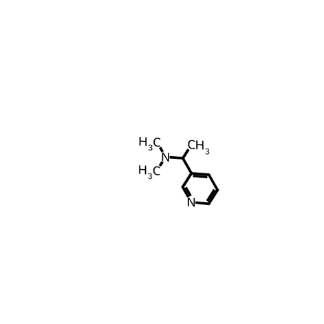 CC(c1cccnc1)N(C)C